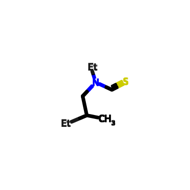 CCC(C)CN(C=S)CC